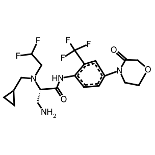 NC[C@@H](C(=O)Nc1ccc(N2CCOCC2=O)cc1C(F)(F)F)N(CC(F)F)CC1CC1